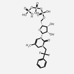 CC1=CN([C@@H]2O[C@H](COP(=O)(O)OP(=O)(O)OP(=O)(O)O)[C@H](O)[C@@H]2O)C(=O)N(CC(F)(F)c2ccccc2)C1